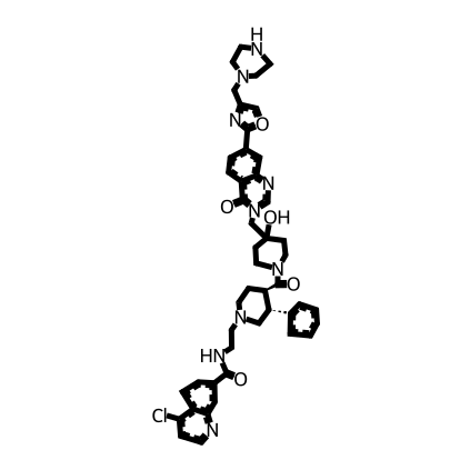 O=C(NCCN1CC[C@@H](C(=O)N2CCC(O)(Cn3cnc4cc(-c5nc(CN6CCNCC6)co5)ccc4c3=O)CC2)[C@H](c2ccccc2)C1)c1ccc2c(Cl)ccnc2c1